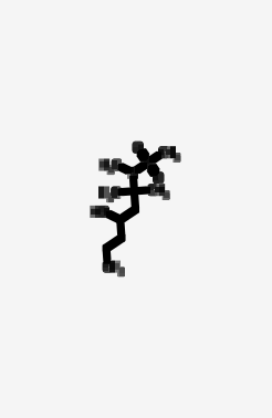 CCCC(O)CC(C)(C)N(C)S(C)(=O)=O